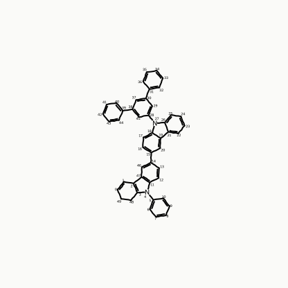 C1=Cc2c(n(-c3ccccc3)c3ccc(-c4ccc5c(c4)c4ccccc4n5-c4cc(-c5ccccc5)cc(-c5ccccc5)c4)cc23)CC1